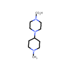 CN1CCC(N2CCN(C(=O)O)CC2)CC1